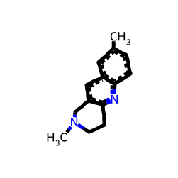 Cc1ccc2nc3c(cc2c1)CN(C)CC3